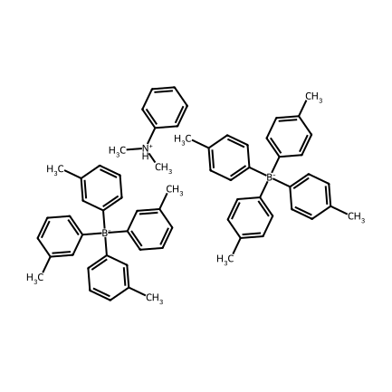 C[NH+](C)c1ccccc1.Cc1ccc([B-](c2ccc(C)cc2)(c2ccc(C)cc2)c2ccc(C)cc2)cc1.Cc1cccc([B-](c2cccc(C)c2)(c2cccc(C)c2)c2cccc(C)c2)c1